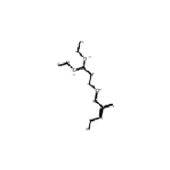 CCC=C(C)COCCC(OCC)OCC